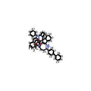 C/C1=C(\c2cccc3ccccc23)C2=C(/N=C(/c3ccc(-c4ccccc4)cc3)CC1)c1ccccc1C21c2ccccc2N(c2ccccc2)c2ccccc21